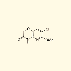 COc1nc2c(cc1Cl)OCC(=O)N2